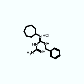 Cl.N=C(N)NC(=NC1CCCCCC1)NCc1ccccc1